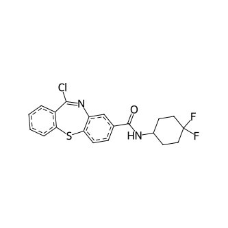 O=C(NC1CCC(F)(F)CC1)c1ccc2c(c1)N=C(Cl)c1ccccc1S2